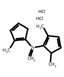 Cl.Cl.[CH2]=[Zr]([C]1=C(C)C=CC1)[C]1=C(C)C=CC1C